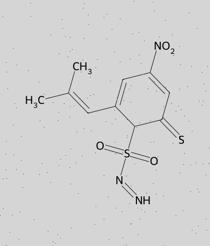 CC(C)=CC1=CC([N+](=O)[O-])=CC(=S)C1S(=O)(=O)N=N